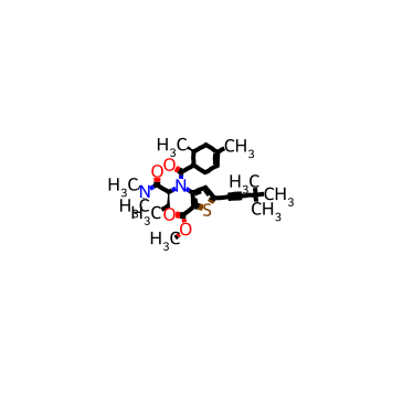 CC[C@@H](C(=O)N(C)C)N(C(=O)C1CC=C(C)C[C@@H]1C)c1cc(C#CC(C)(C)C)sc1C(=O)OC